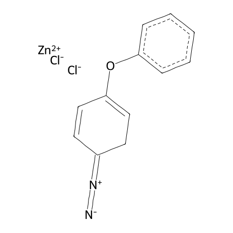 [Cl-].[Cl-].[N-]=[N+]=C1C=CC(Oc2ccccc2)=CC1.[Zn+2]